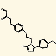 CSc1ccc(-c2ccc(C)n2CCOc2ccc(CCC(=O)N=O)cc2)cc1